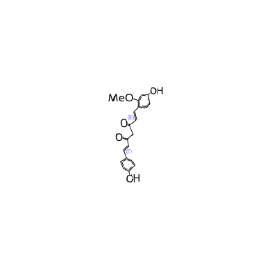 COc1cc(O)ccc1/C=C/C(=O)CC(=O)/C=C/c1ccc(O)cc1